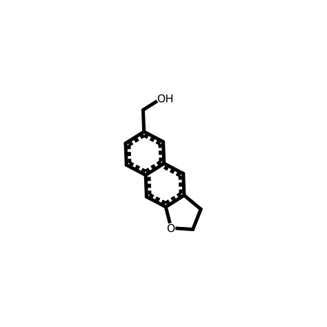 OCc1ccc2cc3c(cc2c1)CCO3